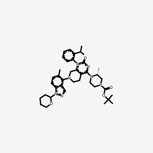 Cc1ccc2c(cnn2C2CCCCO2)c1N1CCc2c(N3CCN(C(=O)OC(C)(C)C)C[C@H]3C)nc(=O)n(-c3ccccc3C(C)C)c2C1